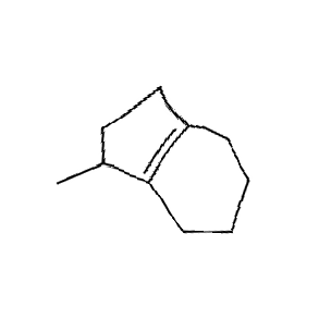 CC1CCC2=C1CCCC2